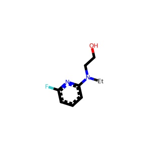 CCN(CCO)c1cccc(F)n1